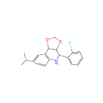 CC(C)c1ccc2c(c1)C1OCOC1C(c1ccccc1F)N2